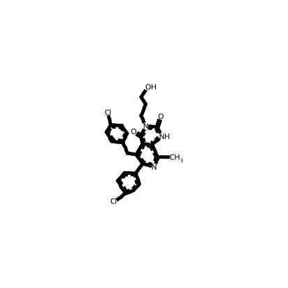 Cc1nc(-c2ccc(Cl)cc2)c(Cc2ccc(Cl)cc2)c2c(=O)n(CCCO)c(=O)[nH]c12